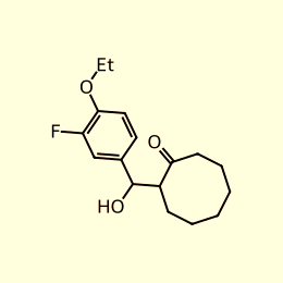 CCOc1ccc(C(O)C2CCCCCCC2=O)cc1F